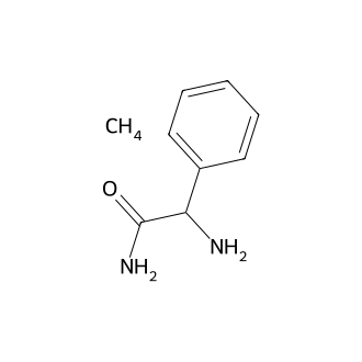 C.NC(=O)C(N)c1ccccc1